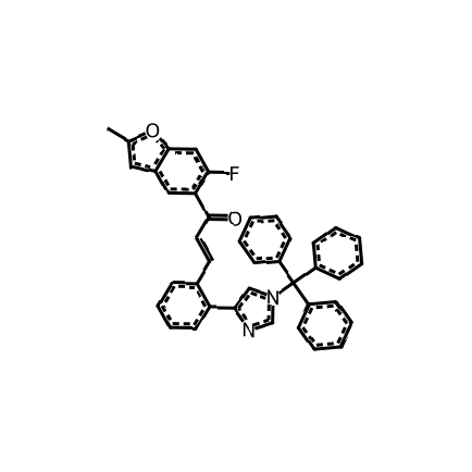 Cc1cc2cc(C(=O)C=Cc3ccccc3-c3cn(C(c4ccccc4)(c4ccccc4)c4ccccc4)cn3)c(F)cc2o1